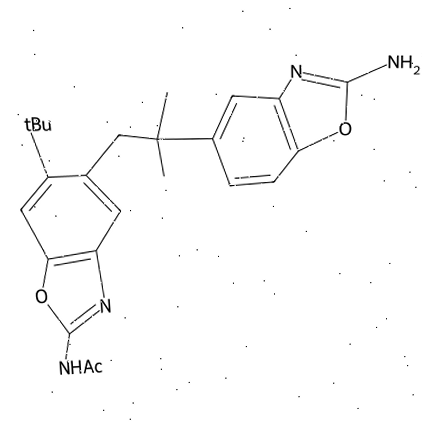 CC(=O)Nc1nc2cc(CC(C)(C)c3ccc4oc(N)nc4c3)c(C(C)(C)C)cc2o1